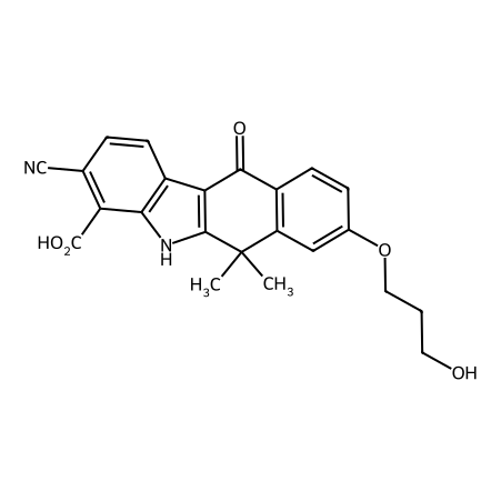 CC1(C)c2cc(OCCCO)ccc2C(=O)c2c1[nH]c1c(C(=O)O)c(C#N)ccc21